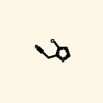 N#CCc1sccc1Cl